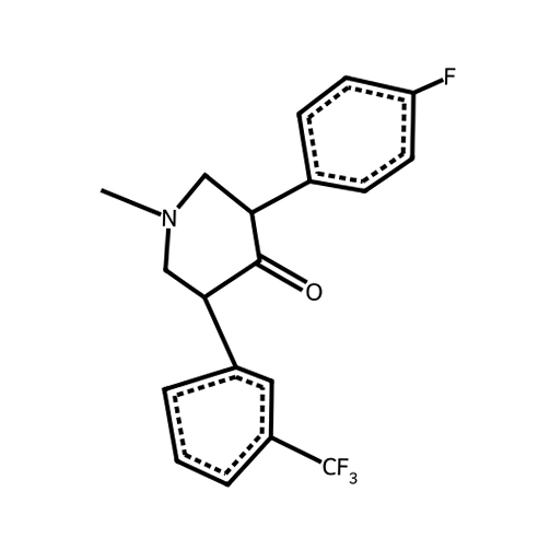 CN1CC(c2ccc(F)cc2)C(=O)C(c2cccc(C(F)(F)F)c2)C1